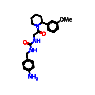 COc1cccc(C2CCCCN2C(=O)CNC(=O)NCc2ccc(N)cc2)c1